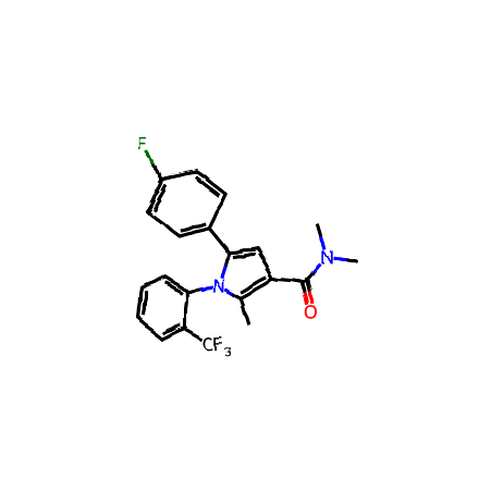 Cc1c(C(=O)N(C)C)cc(-c2ccc(F)cc2)n1-c1ccccc1C(F)(F)F